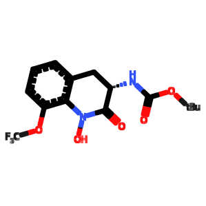 CC(C)(C)OC(=O)N[C@H]1Cc2cccc(OC(F)(F)F)c2N(O)C1=O